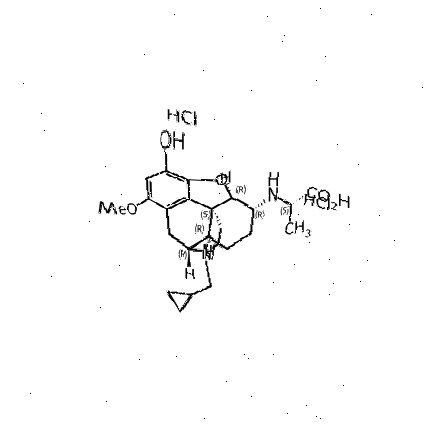 COc1cc(O)c2c3c1C[C@@H]1[C@@H]4CC[C@@H](N[C@@H](C)C(=O)O)[C@H](O2)[C@]34CCN1CC1CC1.Cl.Cl